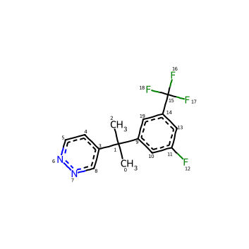 CC(C)(c1ccnnc1)c1cc(F)cc(C(F)(F)F)c1